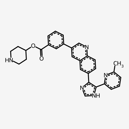 Cc1cccc(-c2[nH]cnc2-c2ccc3ncc(-c4cccc(C(=O)OC5CCNCC5)c4)cc3c2)n1